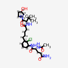 CC(=O)NC(CCC(N)=O)C(=O)Nc1cccc(CCCCC(=O)N[C@H](C(=O)N2CC[C@@H](O)C2)C(C)(C)C)c1Cl